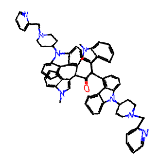 Cn1cc(C(C(=O)C(c2cn(C)c3ccccc23)c2cccc3c2c2ccccc2n3C2CCN(Cc3ccccn3)CC2)c2cccc3c2c2ccccc2n3C2CCN(Cc3ccccn3)CC2)c2ccccc21